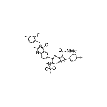 CNC(=O)c1c(-c2ccc(F)cc2)oc2cc(N(C)S(C)(=O)=O)c(-c3ccc4nc(C)n(Cc5ccc(C)cc5F)c(=O)c4c3)cc12